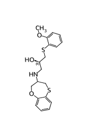 COc1ccccc1SC[C@H](O)CNC1COc2ccccc2SC1